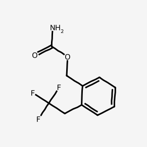 NC(=O)OCc1ccccc1CC(F)(F)F